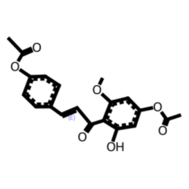 COc1cc(OC(C)=O)cc(O)c1C(=O)/C=C/c1ccc(OC(C)=O)cc1